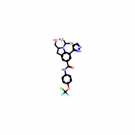 CC(C)N1c2c(cc(C(=O)Nc3ccc(OC(F)(F)Cl)cc3)cc2-c2ccn[nH]2)CC1CO